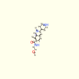 C=c1ccc(C(=O)NCCOC)c(C)/c1=C/N(C)CC1CCNCC1